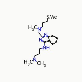 CSCCCN(C)Cc1nc(NCCCN(C)C)c2ccccc2n1